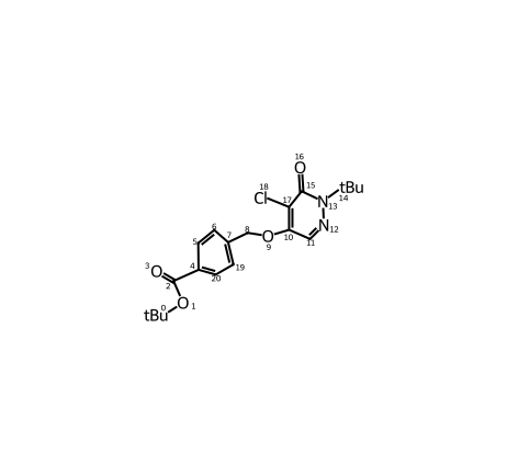 CC(C)(C)OC(=O)c1ccc(COc2cnn(C(C)(C)C)c(=O)c2Cl)cc1